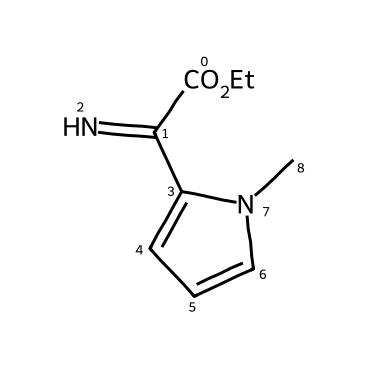 CCOC(=O)C(=N)c1cccn1C